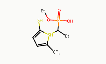 CCOP(=O)(O)C(CC)[SH]1C(S)=CC=C1C(F)(F)F